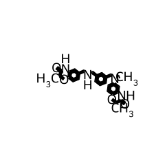 CC1Oc2ccc(CNCc3cccc(CN(C)c4ccc5c(c4)NC(=O)C(C)O5)c3)cc2NC1=O